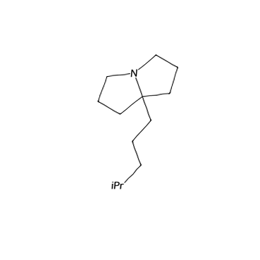 CC(C)CCCC12CCCN1CCC2